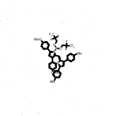 COc1ccc(-c2cc(-c3ccc(OC)cc3)n(B(OCC(F)(F)C(F)(F)F)OCC(F)(F)C(F)(F)F)c2/C=C2\N=C(c3ccc(C(C)(C)C)cc3)C=C2c2ccc(C(C)(C)C)cc2)cc1